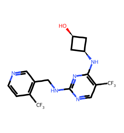 O[C@H]1C[C@@H](Nc2nc(NCc3cnccc3C(F)(F)F)ncc2C(F)(F)F)C1